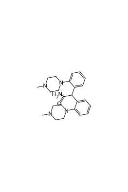 CN1CCN(c2ccccc2C(C(N)=O)c2ccccc2N2CCN(C)CC2)CC1